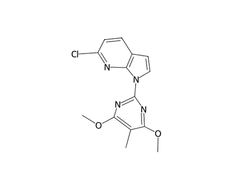 COc1nc(-n2ccc3ccc(Cl)nc32)nc(OC)c1C